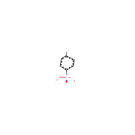 CCOP(=O)(OCC)c1ccc(N=O)cc1